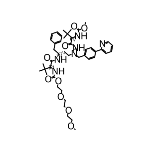 COCCOCCOCCOC(=O)N[C@@H](C(=O)N[C@@H]([CH]CN(Cc1ccc(-c2ccccn2)cc1)NC(=O)[C@H](NC(=O)OC)C(C)(C)C)Cc1ccccc1)C(C)(C)C